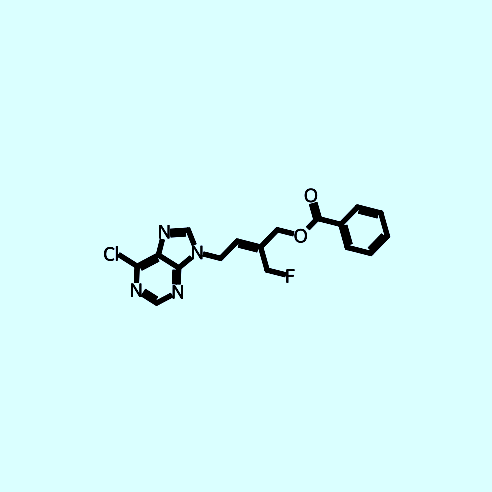 O=C(OC/C(=C/Cn1cnc2c(Cl)ncnc21)CF)c1ccccc1